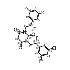 Cc1cc(Cl)cc([C@H](F)CN2C(=O)CC(=O)N(C[C@H](F)c3cc(F)cc(Cl)c3)C2=O)c1